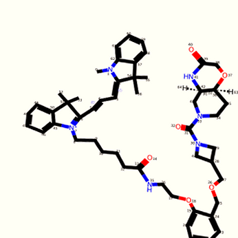 CN1/C(=C\C=C\C2=[N+](CCCCCC(=O)NCCOc3ccccc3COCC3CN(C(=O)N4CC[C@@H]5OCC(=O)N[C@@H]5C4)C3)c3ccccc3C2(C)C)C(C)(C)c2ccccc21